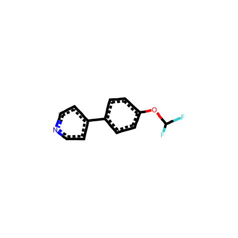 FC(F)Oc1ccc(-c2c[c]ncc2)cc1